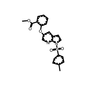 COC(=O)c1ccccc1Oc1cnc2c(ccn2S(=O)(=O)c2ccc(C)cc2)c1